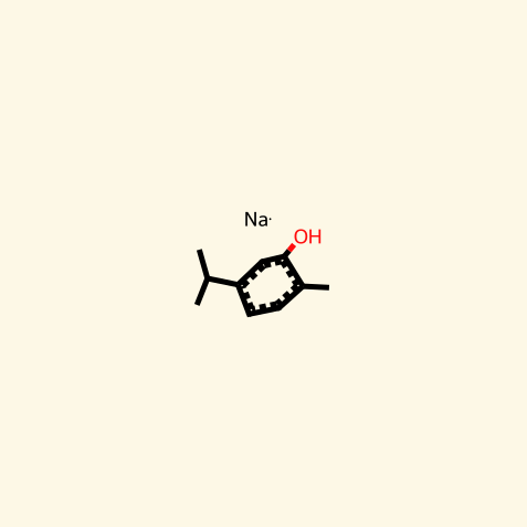 Cc1ccc(C(C)C)cc1O.[Na]